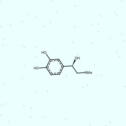 [11CH3]NC[C@H](O)c1ccc(O)c(O)c1